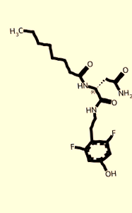 CCCCCCCC(=O)N[C@H](CC(N)=O)C(=O)NCCc1c(F)cc(O)cc1F